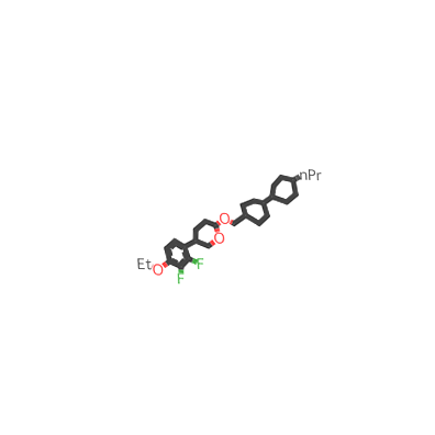 CCCC1CCC(C2CCC(COC3CCC(c4ccc(OCC)c(F)c4F)CO3)CC2)CC1